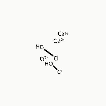 OCl.OCl.[Ca+2].[Ca+2].[O-2]